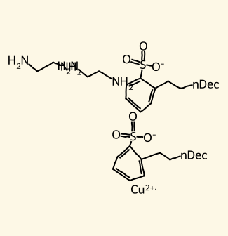 CCCCCCCCCCCCc1ccccc1S(=O)(=O)[O-].CCCCCCCCCCCCc1ccccc1S(=O)(=O)[O-].NCCN.NCCN.[Cu+2]